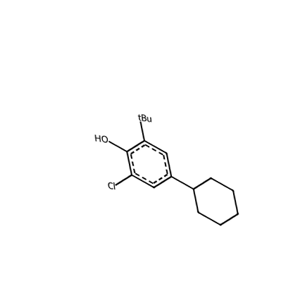 CC(C)(C)c1cc(C2CCCCC2)cc(Cl)c1O